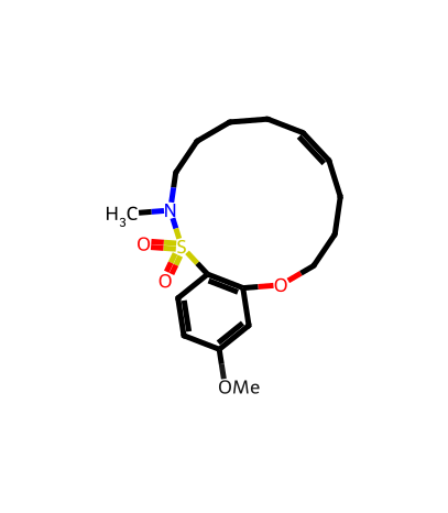 COc1ccc2c(c1)OCCCC=CCCCCN(C)S2(=O)=O